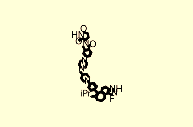 CC(C)CC1=C(c2ccc(N3CCC(CN4CCN(c5ccc6c(c5)CN([C@H]5CCC(=O)NC5=O)C6=O)CC4)CC3)cc2)c2ccc3[nH]nc(F)c3c2CCC1